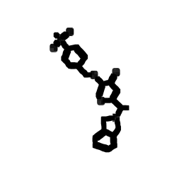 CC(c1cc(=O)c(OCc2ccc(S(C)(=O)=O)cc2)co1)N1Cc2ccccc2C1